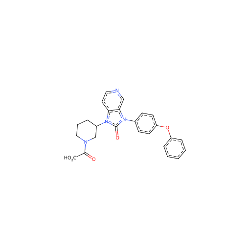 O=C(O)C(=O)N1CCCC(n2c(=O)n(-c3ccc(Oc4ccccc4)cc3)c3cnccc32)C1